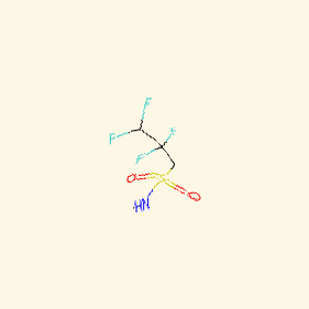 [NH]S(=O)(=O)CC(F)(F)C(F)F